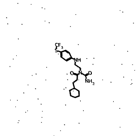 NC(=O)N(CCNc1ccc(SC(F)(F)F)cc1)C(=O)[CH]CC1CCCCC1